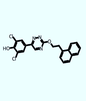 Oc1c(Cl)cc(-c2cnc(OCCc3cccc4ccccc34)nn2)cc1Cl